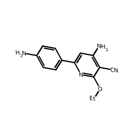 CCOc1nc(-c2ccc(N)cc2)cc(N)c1C#N